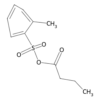 CCCC(=O)OS(=O)(=O)c1ccccc1C